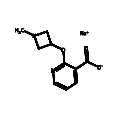 CN1CC(Oc2ncccc2C(=O)[O-])C1.[Na+]